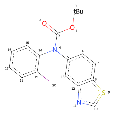 CC(C)(C)OC(=O)N(c1ccc2scnc2c1)c1ccccc1I